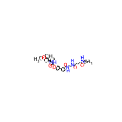 BNC(=O)CCCC(=O)NCCNC(=O)c1cccc(-c2ccc(OCC(=O)NCCC(C)(C)OCC)cc2)c1